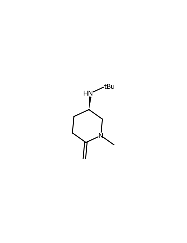 C=C1CC[C@@H](NC(C)(C)C)CN1C